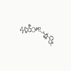 Cc1ccc2c(-c3nnc(SCCCCN4CCc5cc6nc(C(F)(F)F)oc6c(Br)c5CC4)n3C)cccc2n1.Cl